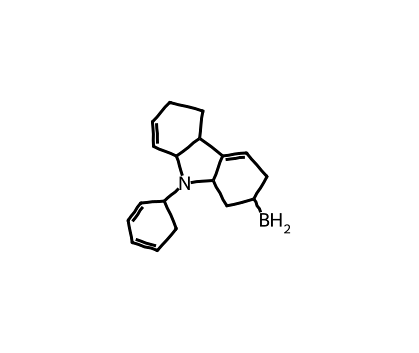 BC1CC=C2C3CCC=CC3N(C3C=CC=CC3)C2C1